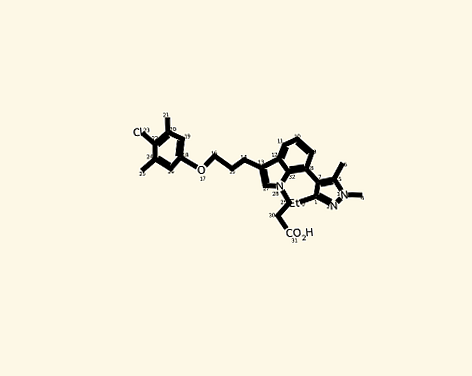 CCc1nn(C)c(C)c1-c1cccc2c(CCCOc3cc(C)c(Cl)c(C)c3)cn(CCC(=O)O)c12